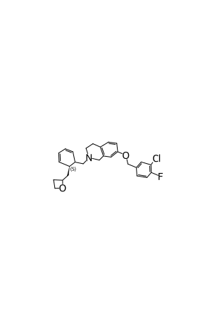 Fc1ccc(COc2ccc3c(c2)CN(CC2C=CC=C[C@@H]2CC2CCO2)CC3)cc1Cl